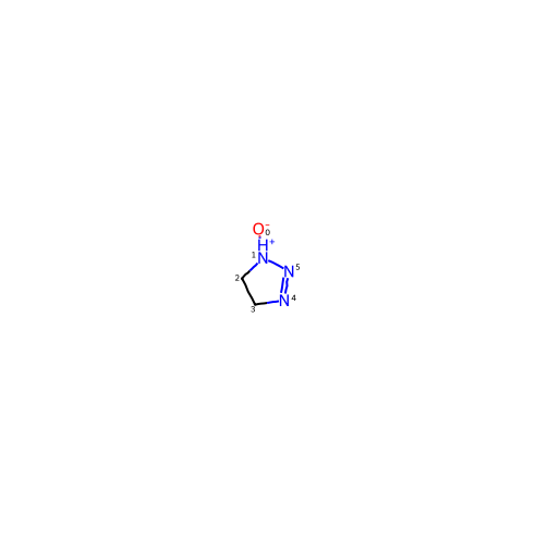 [O-][NH+]1CCN=N1